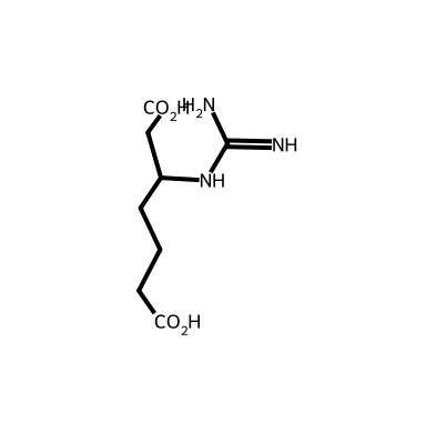 N=C(N)NC(CCCC(=O)O)CC(=O)O